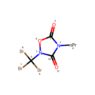 CCCn1c(=O)on(C(Br)(Br)Br)c1=O